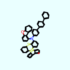 c1ccc(-c2ccc(-c3ccc(N(c4cccc5c4Sc4ccccc4S54c5ccccc5-c5ccccc54)c4cccc5oc6ccccc6c45)cc3)cc2)cc1